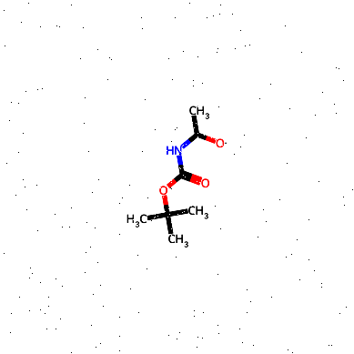 CC([O])NC(=O)OC(C)(C)C